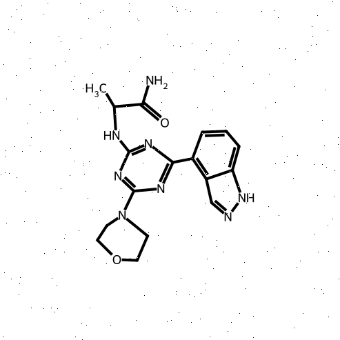 CC(Nc1nc(-c2cccc3[nH]ncc23)nc(N2CCOCC2)n1)C(N)=O